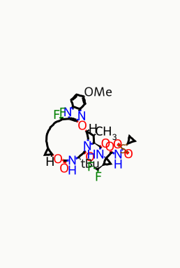 COc1ccc2nc3c(nc2c1)O[C@H]1CN(C(=O)[C@H](C(C)(C)C)NC(=O)O[C@@H]2CC2CCCCC3(F)F)[C@H](C(=O)N[C@]2(C(=O)NS(=O)(=O)C3CC3)C[C@H]2C(F)F)[C@@H]1C